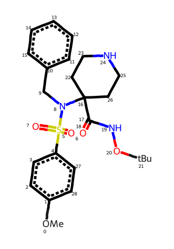 COc1ccc(S(=O)(=O)N(Cc2ccccc2)C2(C(=O)NOC(C)(C)C)CCNCC2)cc1